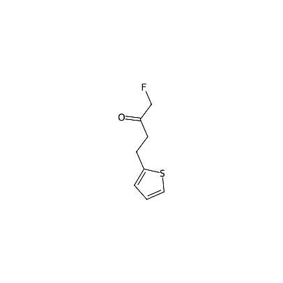 O=C(CF)CCc1cccs1